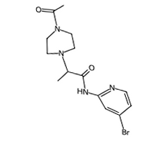 CC(=O)N1CCN(C(C)C(=O)Nc2cc(Br)ccn2)CC1